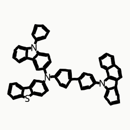 c1ccc(-n2c3ccccc3c3cc(N(c4ccc(-c5ccc(-n6c7ccccc7c7ccc8ccccc8c76)cc5)cc4)c4ccc5sc6ccccc6c5c4)ccc32)cc1